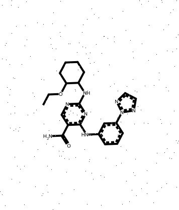 CCOC1CCCCC1Nc1ncc(C(N)=O)c(Nc2cccc(-n3nccn3)c2)n1